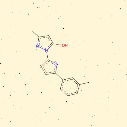 Cc1cccc(-c2csc(-n3nc(C)cc3O)n2)c1